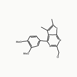 COc1ccc(-c2nc(CCl)nc3sc(C)c(C)c23)cc1OC